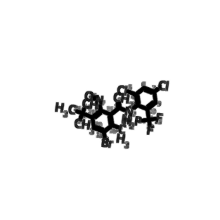 C=C(Nc1c(Cl)cc(Cl)cc1C(F)(F)P)c1c(C)c(Br)cc(C(C)(C)C)c1N=O